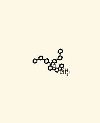 CC1(C)c2ccccc2-c2c1ccc1c2oc2c(N(c3ccc(-c4cccc(-c5ccccc5)c4)cc3)c3ccc(-c4cccc(-c5ccccc5)c4)cc3)cccc21